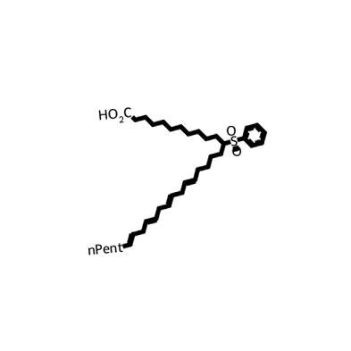 CCCCCC=CCC=CCC=CCC=CCCCCC(CCCCCCCCCCC(=O)O)S(=O)(=O)c1ccccc1